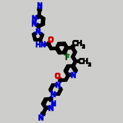 C=C(CCC(C)c1ccc(CC(=O)N2CCN(c3ccc(C#N)nn3)CC2)nc1)c1ccc(CC(=O)N[C@H]2CCN(c3ccc(C#N)nn3)C2)cc1F